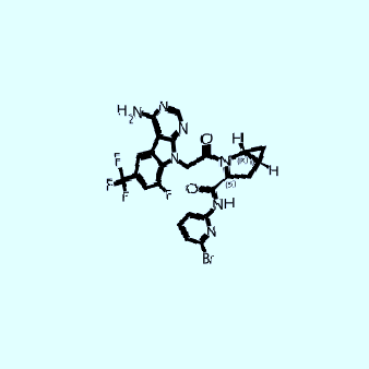 Nc1ncnc2c1c1cc(C(F)(F)F)cc(F)c1n2CC(=O)N1[C@@H]2C[C@@H]2C[C@H]1C(=O)Nc1cccc(Br)n1